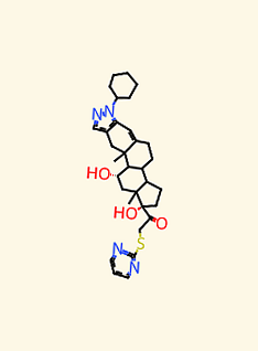 CC12Cc3cnn(C4CCCCC4)c3C=C1CCC1C2[C@@H](O)CC2(C)C1CC[C@]2(O)C(=O)CSc1ncccn1